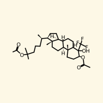 CC(=O)O[C@H]1CC[C@]2(C)[C@H]3CC[C@]4(C)[C@@H]([C@H](C)CCCC(C)(C)OC(C)=O)CC[C@H]4[C@@H]3CC[C@H]2C1(O)C(F)(F)F